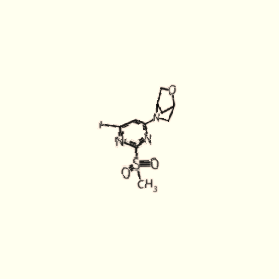 CS(=O)(=O)c1nc(I)cc(N2CC3CC2CO3)n1